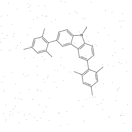 Cc1cc(C)c(-c2ccc3c(c2)c2cc(-c4c(C)cc(C)cc4C)ccc2n3I)c(C)c1